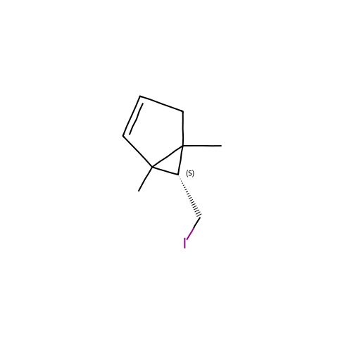 CC12C=CCC1(C)[C@@H]2CI